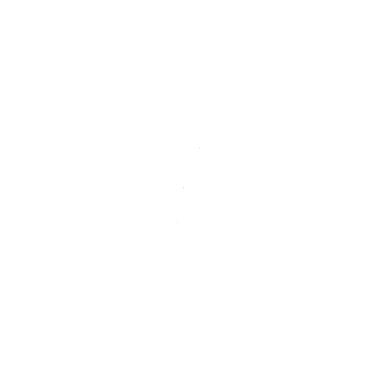 Bc1ccc(N2C[C@H](CNC(C)=O)OC2=O)cc1F